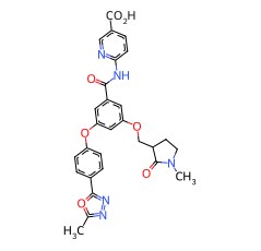 Cc1nnc(-c2ccc(Oc3cc(OCC4CCN(C)C4=O)cc(C(=O)Nc4ccc(C(=O)O)cn4)c3)cc2)o1